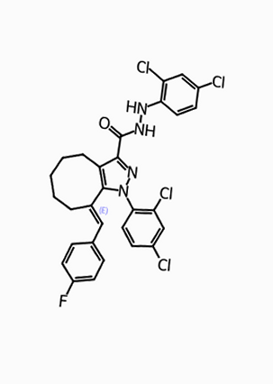 O=C(NNc1ccc(Cl)cc1Cl)c1nn(-c2ccc(Cl)cc2Cl)c2c1CCCCC/C2=C\c1ccc(F)cc1